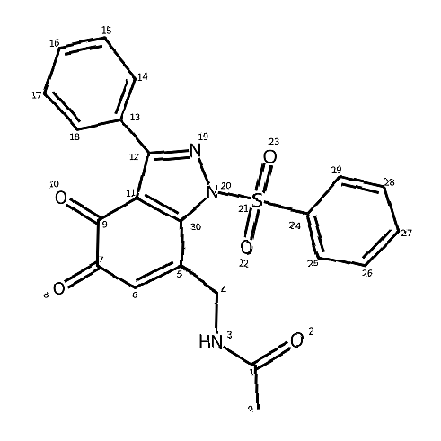 CC(=O)NCC1=CC(=O)C(=O)c2c(-c3ccccc3)nn(S(=O)(=O)c3ccccc3)c21